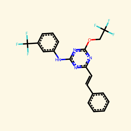 FC(F)(F)COc1nc(C=Cc2ccccc2)nc(Nc2cccc(C(F)(F)F)c2)n1